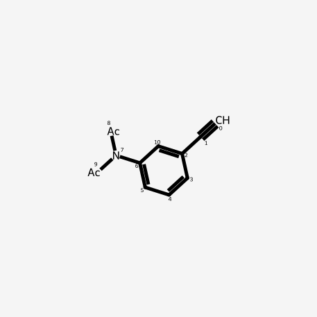 C#Cc1cccc(N(C(C)=O)C(C)=O)c1